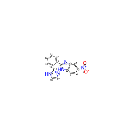 O=[N+]([O-])c1ccc2[nH]c(-c3ccccc3-c3ncc[nH]3)nc2c1